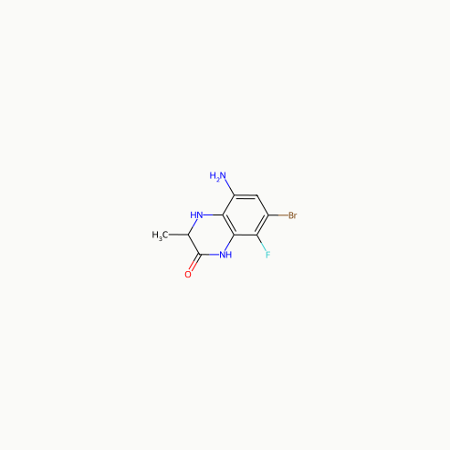 CC1Nc2c(N)cc(Br)c(F)c2NC1=O